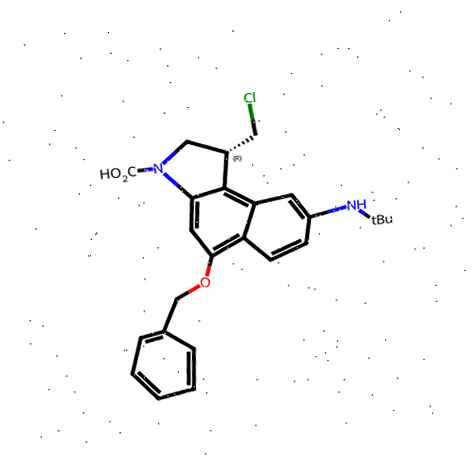 CC(C)(C)Nc1ccc2c(OCc3ccccc3)cc3c(c2c1)[C@@H](CCl)CN3C(=O)O